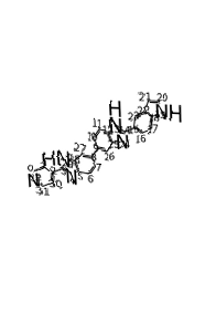 c1cc(-c2nc3ccc(-c4ccc5[nH]c(-c6ccc7[nH]ccc7c6)nc5c4)cc3[nH]2)ccn1